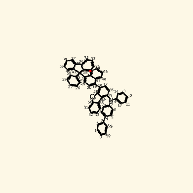 c1ccc(-c2ccc(N(c3ccccc3)c3ccc(-c4ccc(C5(c6ccccc6)c6ccccc6-c6ccccc65)c5ccccc45)c4oc5ccccc5c34)cc2)cc1